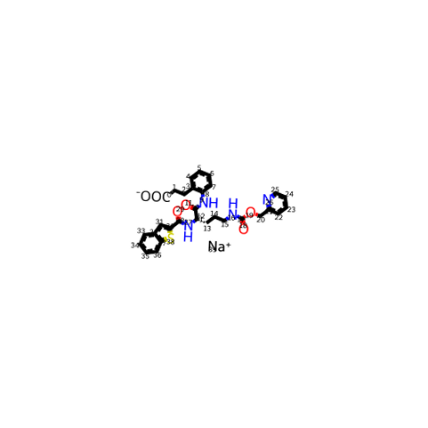 O=C([O-])CCc1ccccc1NC(=O)[C@H](CCCNC(=O)OCc1ccccn1)NC(=O)c1cc2ccccc2s1.[Na+]